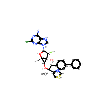 Nc1nc(Cl)nc2c1ncn2[C@@H]1O[C@@H]2C(O[C@](Cc3ccc(-c4ccccc4)cc3)(C(=O)O)c3cscn3)[C@]2(O)[C@@H]1F